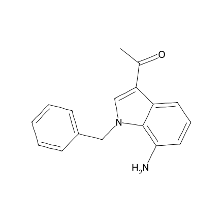 CC(=O)c1cn(Cc2ccccc2)c2c(N)cccc12